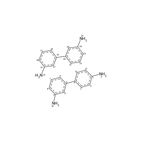 Nc1ccc(-c2cccc(N)c2)cc1.Nc1cccc(-c2cccc(N)c2)c1